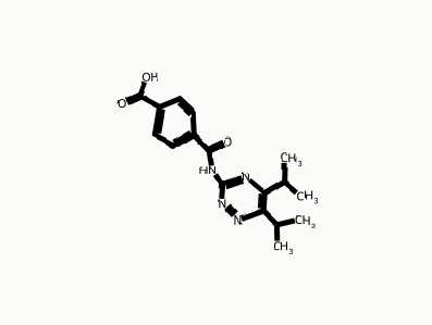 CC(C)c1nnc(NC(=O)c2ccc(C(=O)O)cc2)nc1C(C)C